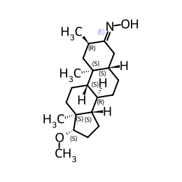 CO[C@H]1CC[C@H]2[C@@H]3CC[C@H]4C/C(=N\O)[C@H](C)C[C@]4(C)[C@H]3CC[C@]12C